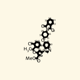 COC(=O)c1sc(-n2cnc3ccc(OC4CCC(N5C(=O)c6ccccc6C5=O)CC4)cc32)cc1O[C@H](C)c1ccccc1Cl